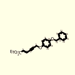 CCOC(=O)C=CC#CCOc1ccc(OCc2ccccc2)cc1